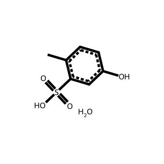 Cc1ccc(O)cc1S(=O)(=O)O.O